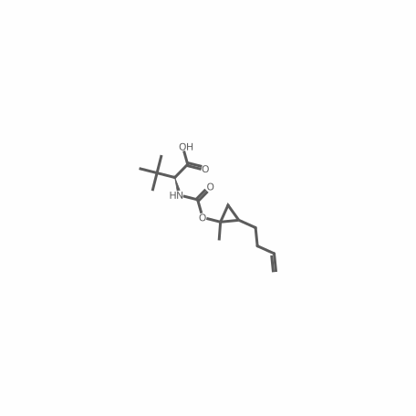 C=CCCC1CC1(C)OC(=O)N[C@H](C(=O)O)C(C)(C)C